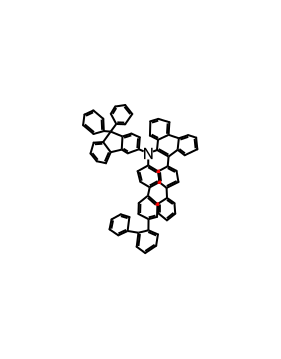 c1ccc(-c2ccc(-c3c(N(c4ccc(-c5ccc(-c6ccccc6-c6ccccc6)cc5)cc4)c4ccc5c(c4)-c4ccccc4C5(c4ccccc4)c4ccccc4)c4ccccc4c4ccccc34)cc2)cc1